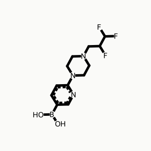 OB(O)c1ccc(N2CCN(CC(F)C(F)F)CC2)nc1